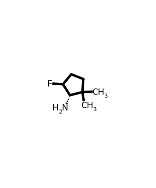 CC1(C)CCC(F)[C@H]1N